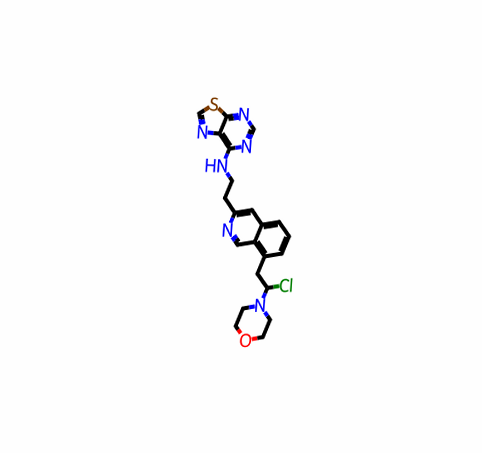 ClC(Cc1cccc2cc(CCNc3ncnc4scnc34)ncc12)N1CCOCC1